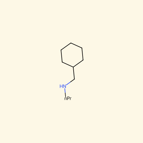 [CH2]CCNCC1CCCCC1